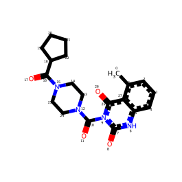 Cc1cccc2[nH]c(=O)n(C(=O)N3CCN(C(=O)C4CCCC4)CC3)c(=O)c12